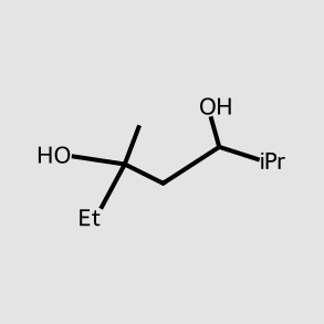 CCC(C)(O)CC(O)C(C)C